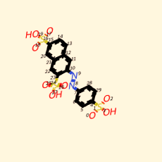 O=S(=O)(O)c1ccc(N=Nc2cc3ccc(S(=O)(=O)O)cc3cc2S(=O)(=O)O)cc1